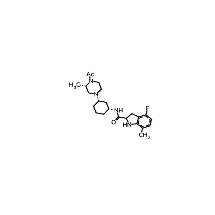 CC(=O)N1CCN([C@H]2CCC[C@@H](NC(=O)C3Cc4c(F)ccc(C)c4N3)C2)C[C@@H]1C